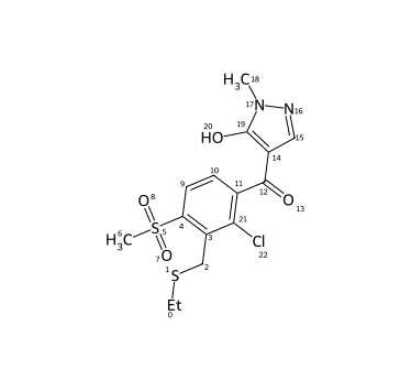 CCSCc1c(S(C)(=O)=O)ccc(C(=O)c2cnn(C)c2O)c1Cl